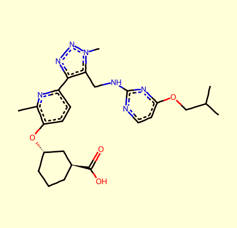 Cc1nc(-c2nnn(C)c2CNc2nccc(OCC(C)C)n2)ccc1O[C@H]1CCC[C@H](C(=O)O)C1